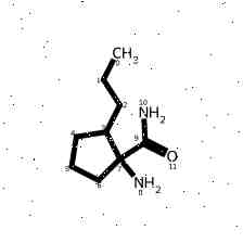 CCCC1CCCC1(N)C(N)=O